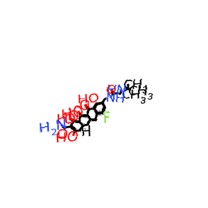 CC(C)(C)NCC(=O)NCc1cc(F)c2c(c1O)C(=O)C1=C(O)[C@]3(O)C(=O)C(C(N)=O)=C(O)C[C@@H]3CC1C2